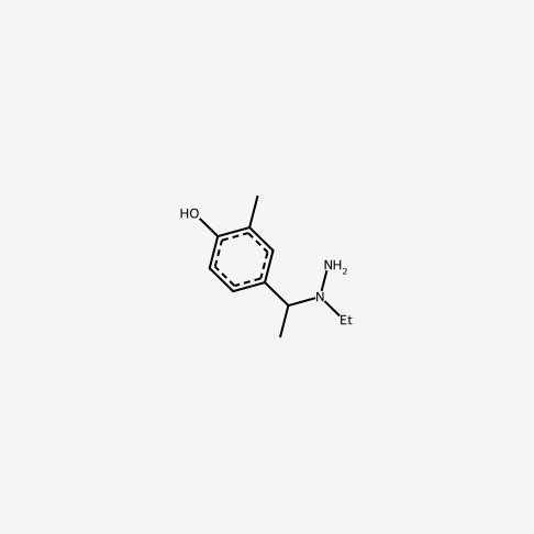 CCN(N)C(C)c1ccc(O)c(C)c1